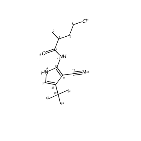 CC(CCCl)C(=O)Nc1[nH]cc(C(C)(C)C)c1C#N